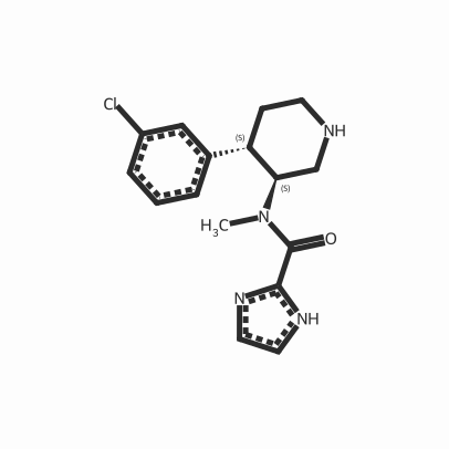 CN(C(=O)c1ncc[nH]1)[C@@H]1CNCC[C@H]1c1cccc(Cl)c1